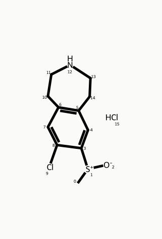 C[S+]([O-])c1cc2c(cc1Cl)CCNCC2.Cl